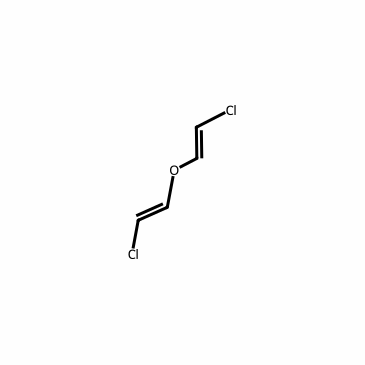 ClC=COC=CCl